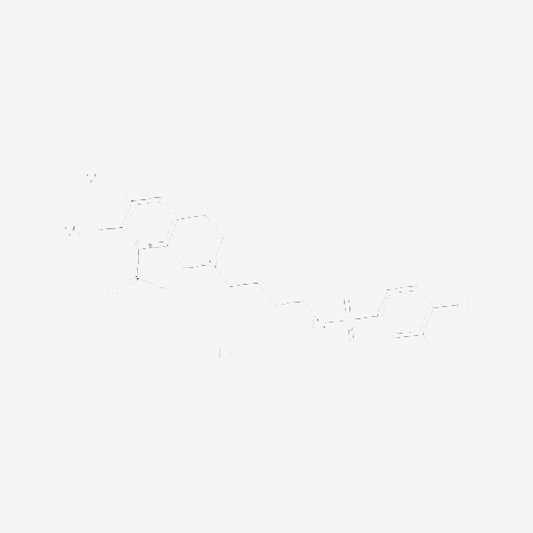 COc1cc2c3c(c1OC)C(=O)CC3N(CCCCNS(=O)(=O)c1cc(C)c(Cl)cc1C)CC2.Cl